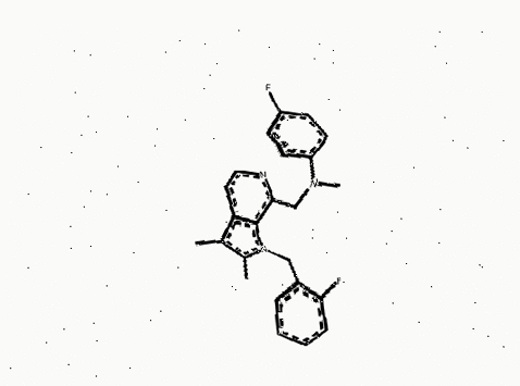 Cc1c(C)n(Cc2ccccc2F)c2c(CN(C)c3ccc(F)cc3)nccc12